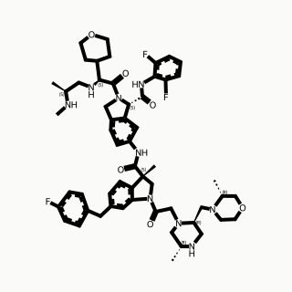 CN[C@@H](C)CN[C@H](C(=O)N1Cc2ccc(NC(=O)[C@]3(C)CN(C(=O)CN4C[C@@H](C)NC[C@@H]4CN4CCOC[C@H]4C)c4cc(Cc5ccc(F)cc5)ccc43)cc2[C@H]1C(=O)Nc1c(F)cccc1F)C1CCOCC1